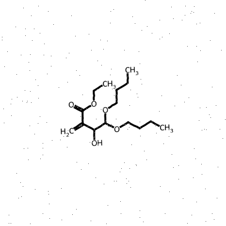 C=C(C(=O)OCC)C(O)C(OCCCC)OCCCC